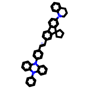 C(=C\c1ccc2c(c1)C1(CCCC1)c1cc(N3CCCc4ccccc43)ccc1-2)/c1ccc(N2c3ccccc3N(c3ccccc3)c3ccccc32)cc1